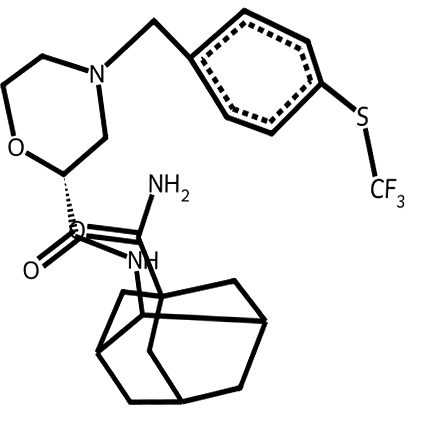 NC(=O)C12CC3CC(C1)C(NC(=O)[C@H]1CN(Cc4ccc(SC(F)(F)F)cc4)CCO1)C(C3)C2